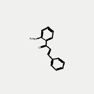 CC(=O)Nc1ccccc1C(=O)C=Cc1ccccc1